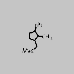 CCCC1CCC(CSC)C1C